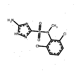 CN(c1c(Cl)cccc1Cl)S(=O)(=O)c1n[nH]c(N)n1